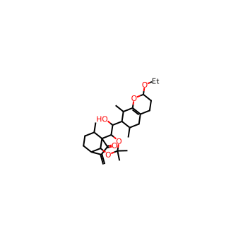 C=C1C(=O)C23C(C)CCC1C2OC(C)(C)OC3C(O)C1C(C)CC2=C(OC(OCC)CC2)C1C